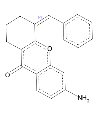 Nc1ccc2c(=O)c3c(oc2c1)/C(=C\c1ccccc1)CCC3